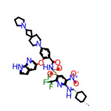 C[C@H]1CC[C@@H](CNc2nc(C(F)(F)F)c(S(=O)(=O)NC(=O)c3ccc(N4CCC5(CC4)CC(N4CCCC4)C5)cc3Oc3cnc4[nH]ccc4c3)cc2[N+](=O)[O-])CC1